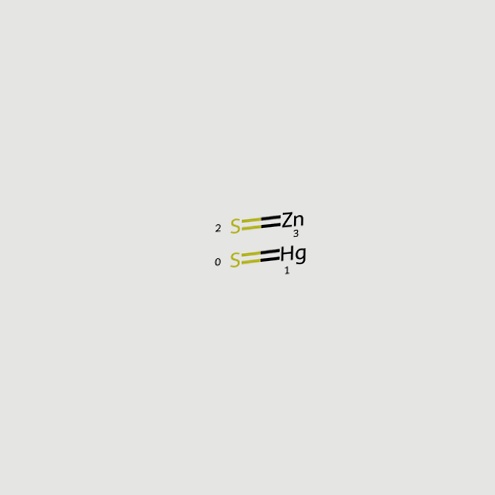 [S]=[Hg].[S]=[Zn]